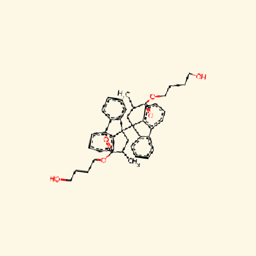 CC(CC1(C2(CC(C)C(=O)OCCCCO)c3ccccc3-c3ccccc32)c2ccccc2-c2ccccc21)C(=O)OCCCCO